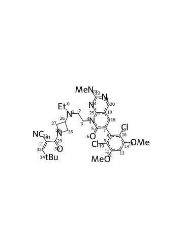 CCN(CCn1c(=O)c(-c2c(Cl)c(OC)cc(OC)c2Cl)cc2cnc(NC)nc21)C1CN(C(=O)/C(C#N)=C\C(C)(C)C)C1